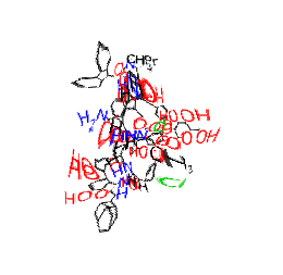 CC(C)C[C@H](C(=O)N[C@H]1C(=O)C[C@@H](CC(N)=O)C(=O)N[C@H]2C(=O)C[C@H]3C(=O)N[C@H](C(=O)N[C@H](C(=O)CC4C5CC6CC(C5)CC4C6)c4cc(O)cc(O)c4-c4cc3ccc4O)[C@H](O)c3ccc(c(Cl)c3)Oc3cc2cc(c3O[C@@H]2O[C@H](CO)[C@@H](O)[C@H](O)[C@H]2O[C@H]2C[C@](C)(NC(=O)OCC3c4ccccc4-c4ccccc43)[C@H](O)[C@H](C)O2)Oc2ccc(cc2Cl)[C@H]1O)N(C)C(=O)OCC1c2ccccc2-c2ccccc21